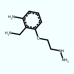 NCc1c(N)cccc1OCCNN